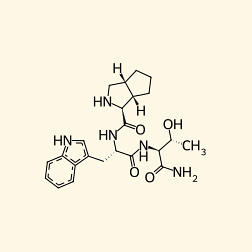 C[C@@H](O)[C@H](NC(=O)[C@H](Cc1c[nH]c2ccccc12)NC(=O)[C@H]1NC[C@@H]2CCC[C@@H]21)C(N)=O